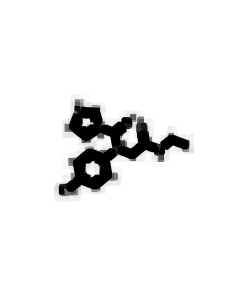 CCOC(=O)CN(C(=O)n1ccnc1)c1ccc(Cl)cc1